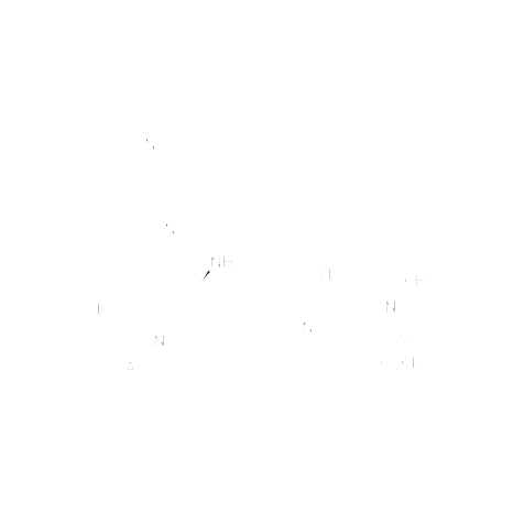 CC(=O)N1c2ccc(-c3ccc(C(=O)O)c(C(C)N(C)C)n3)cc2[C@H](Nc2ccc(C#N)cn2)C[C@H]1C